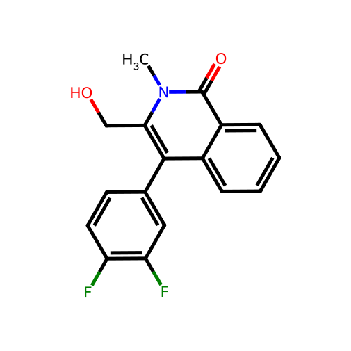 Cn1c(CO)c(-c2ccc(F)c(F)c2)c2ccccc2c1=O